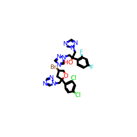 Clc1ccc(C2(Cn3cncn3)CC(Br)CO2)c(Cl)c1.OC(Cn1cncn1)(Cn1cncn1)c1ccc(F)cc1F